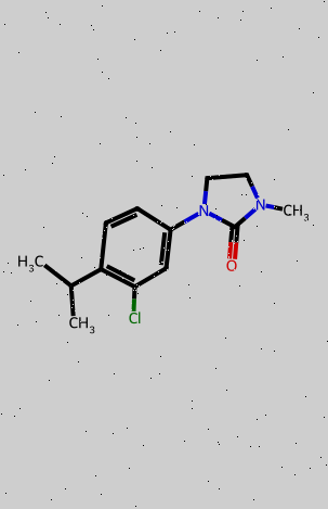 CC(C)c1ccc(N2CCN(C)C2=O)cc1Cl